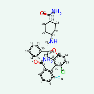 NC(=O)c1cccc(F)c1-c1c(Cl)ccc2c1C[C@@](CN[C@H]1CC[C@@H](C(N)=O)CC1)(c1ccccc1)O2